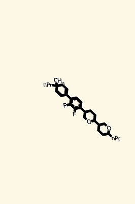 CCCC1CCC(C2CCC(c3ccc(C4=CCC(C)(CCC)C=C4)c(F)c3F)CO2)CO1